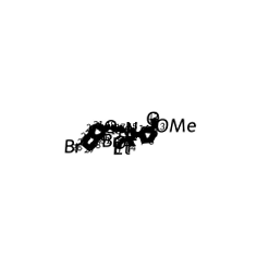 CCOc1c(F)c(-c2cccc(C(=O)OC)c2)nn1CCOc1ccc2cc(Br)ccc2c1Br